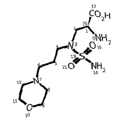 N[C@@H](CN(CCCN1CCOCC1)S(N)(=O)=O)C(=O)O